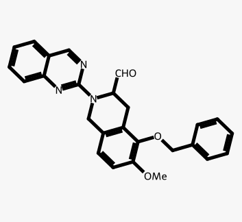 COc1ccc2c(c1OCc1ccccc1)CC(C=O)N(c1ncc3ccccc3n1)C2